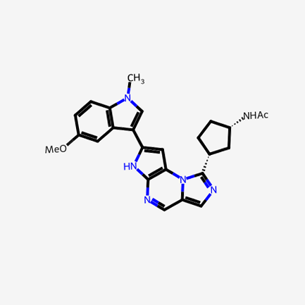 COc1ccc2c(c1)c(-c1cc3c(ncc4cnc([C@@H]5CC[C@H](NC(C)=O)C5)n43)[nH]1)cn2C